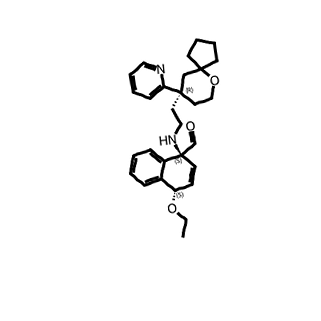 CCO[C@H]1C=C[C@](C=O)(NCC[C@@]2(c3ccccn3)CCOC3(CCCC3)C2)c2ccccc21